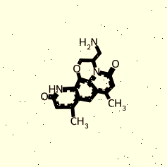 Cc1cc(=O)[nH]c2c3c4c(cc12)c(C)cc(=O)n4C(CN)CO3